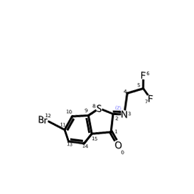 O=C1/C(=N/CC(F)F)Sc2cc(Br)ccc21